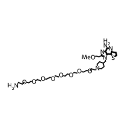 COCCc1nc2c(N)nc3ccsc3c2n1CC1CCN(CCOCCOCCOCCOCCOCCOCCOCCOCCN)CC1